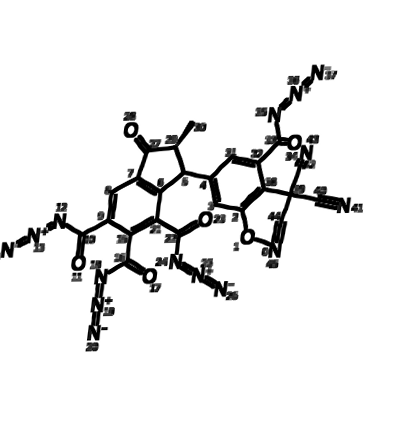 COc1cc(C2c3c(cc(C(=O)N=[N+]=[N-])c(C(=O)N=[N+]=[N-])c3C(=O)N=[N+]=[N-])C(=O)[C@H]2C)cc(C(=O)N=[N+]=[N-])c1C(C#N)(C#N)C#N